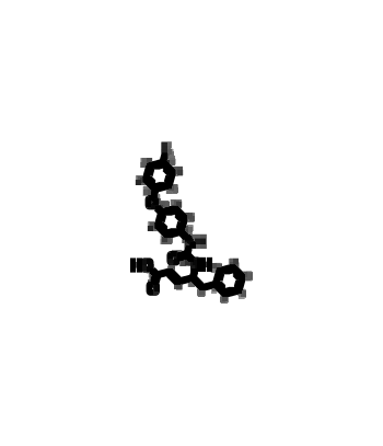 O=C(O)C=CC(Cc1ccccc1)NC(=O)Nc1ccc(Oc2ccc(F)cc2)cc1